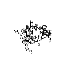 Cc1nc(NC2CN(C(=O)c3cc(C(F)(F)F)n(C)n3)C2)nc2c1NC(=O)C(C(C)C)N2C